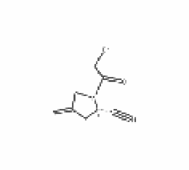 C=C1C[C@@H](C#N)N(C(=O)CBr)C1